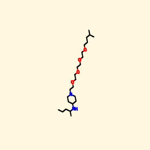 CCCC(C)NC1CCN(CCOCCOCCOCCOCCCC(C)C)CC1